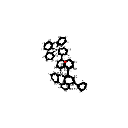 c1ccc(-c2ccc(N(c3ccc(-c4cccc([Si](c5ccccc5)(c5ccccc5)c5ccccc5)c4)cc3)c3ccccc3-c3ccccc3)c(-c3ccccc3)c2)cc1